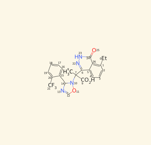 CCc1cccc2c(C(C)(C(=O)O)N3OC=NC3c3ccccc3C(F)(F)F)n[nH]c(=O)c12